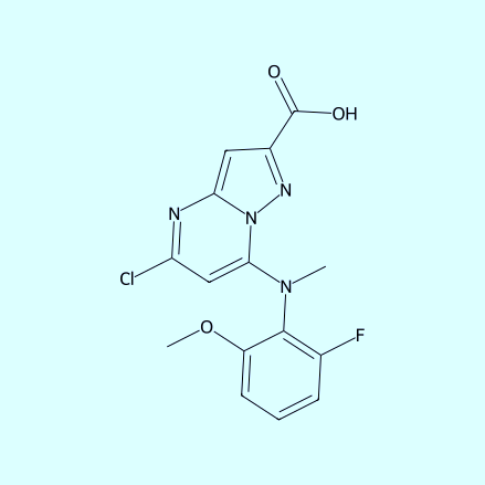 COc1cccc(F)c1N(C)c1cc(Cl)nc2cc(C(=O)O)nn12